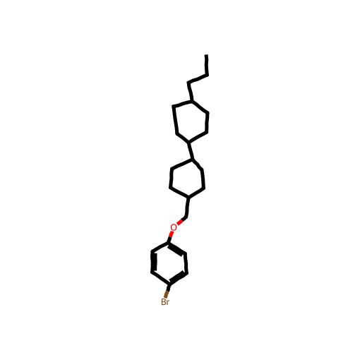 CCCC1CCC(C2CCC(COc3ccc(Br)cc3)CC2)CC1